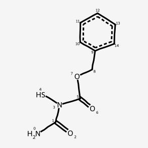 NC(=O)N(S)C(=O)OCc1ccccc1